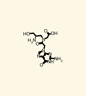 Nc1nc2c(ncn2CC(=O)N(CC(=O)O)C[C@@H](N)CO)c(=O)[nH]1